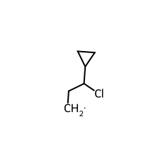 [CH2]CC(Cl)C1CC1